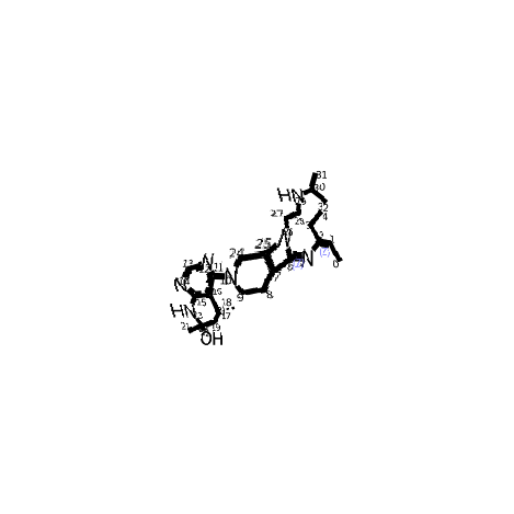 C/C=C(CC)\N=C1\C2CCN(c3ncnc4c3[C@H](C)CC(C)(O)N4)CC2N1CCNC(C)C